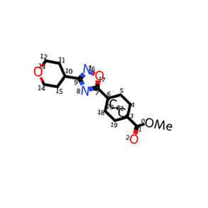 COC(=O)C12CCC(c3nc(C4CCOCC4)no3)(CC1)CC2